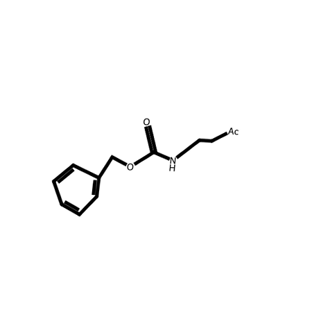 CC(=O)CCNC(=O)OCc1ccccc1